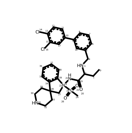 CCC(NCc1cccc(-c2ccc(Cl)c(Cl)c2)c1)C(=O)N[N+]1(S(C)(=O)=O)CC2(CCNCC2)c2ccccc21